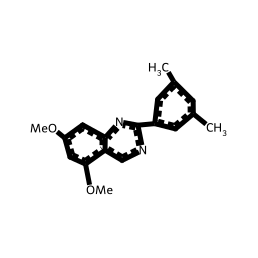 COc1cc(OC)c2cnc(-c3cc(C)cc(C)c3)nc2c1